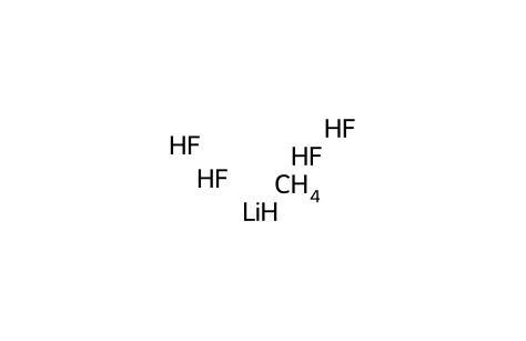 C.F.F.F.F.[LiH]